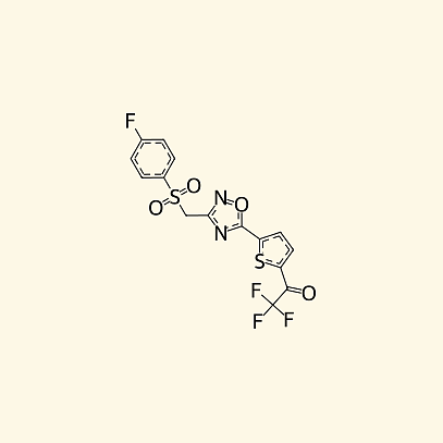 O=C(c1ccc(-c2nc(CS(=O)(=O)c3ccc(F)cc3)no2)s1)C(F)(F)F